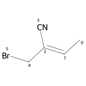 C/C=C(\C#N)CBr